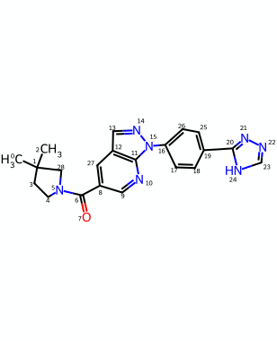 CC1(C)CCN(C(=O)c2cnc3c(cnn3-c3ccc(-c4nnc[nH]4)cc3)c2)C1